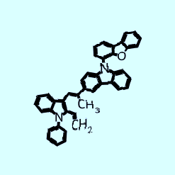 C=Cc1c(/C=C(\C)c2ccc3c(c2)c2ccccc2n3-c2cccc3c2oc2ccccc23)c2ccccc2n1-c1ccccc1